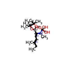 CC/C(C)=C/C=C(/B1OC(C)(C)C(C)(C)O1)N(C)C(O)(O)O